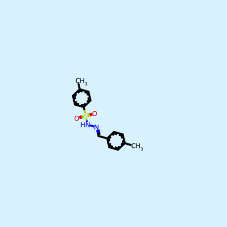 Cc1ccc(C=NNS(=O)(=O)c2ccc(C)cc2)cc1